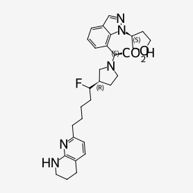 O=C(O)[C@H](c1cccc2cnn([C@H]3CCOC3)c12)N1CC[C@@H](C(F)CCCCc2ccc3c(n2)NCCC3)C1